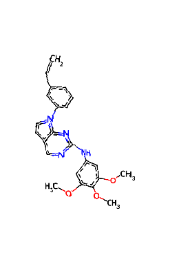 C=Cc1cccc(-n2ccc3cnc(Nc4cc(OC)c(OC)c(OC)c4)nc32)c1